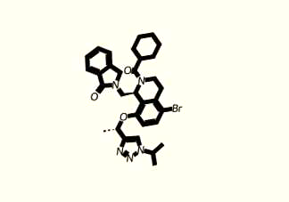 CC(C)n1cc([C@H](C)Oc2ccc(Br)c3c2[C@@H](CN2Cc4ccccc4C2=O)N(C(=O)C2CCCCC2)CC3)nn1